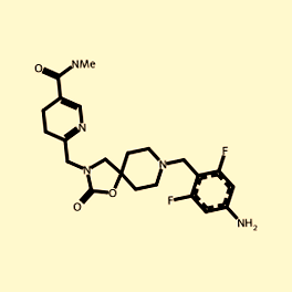 CNC(=O)C1=CN=C(CN2CC3(CCN(Cc4c(F)cc(N)cc4F)CC3)OC2=O)CC1